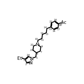 CCc1cnn(CC2CCN(CCCCCc3ccc(C(C)=O)cc3)CC2)c1